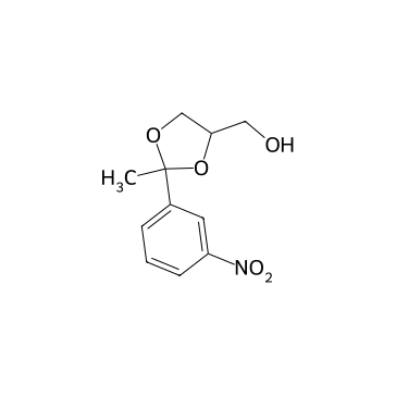 CC1(c2cccc([N+](=O)[O-])c2)OCC(CO)O1